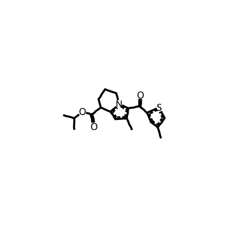 Cc1csc(C(=O)c2c(C)cc3n2CCCC3C(=O)OC(C)C)c1